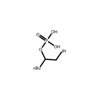 CCCCC(CC(C)C)OP(=O)(O)O